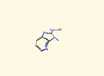 CC(C)Nc1nc2cccnc2n1C